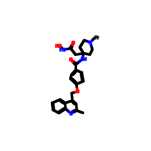 Cc1cc(COc2ccc(C(=O)NC3(CC(=O)NO)CCN(C(C)C)CC3)cc2)c2ccccc2n1